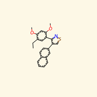 CCc1cc(-c2nscc2-c2ccc3ccccc3c2)c(OC)cc1OC